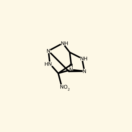 O=[N+]([O-])C12CC3NN(CN(N3)N1)N2